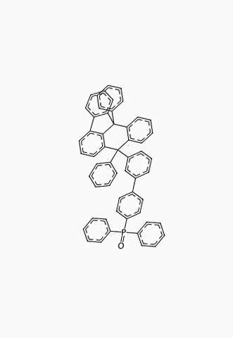 O=P(c1ccccc1)(c1ccccc1)c1ccc(-c2cccc(C3(c4ccccc4)c4ccccc4C4(c5ccccc5)c5ccccc5-c5cccc3c54)c2)cc1